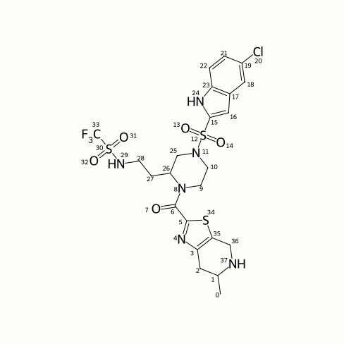 CC1Cc2nc(C(=O)N3CCN(S(=O)(=O)c4cc5cc(Cl)ccc5[nH]4)CC3CCNS(=O)(=O)C(F)(F)F)sc2CN1